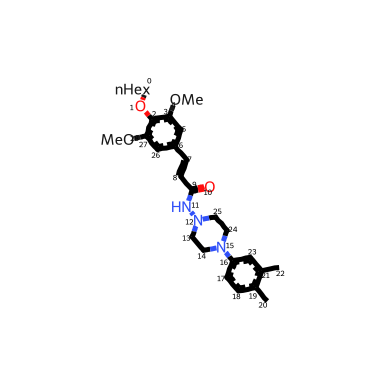 CCCCCCOc1c(OC)cc(C=CC(=O)NN2CCN(c3ccc(C)c(C)c3)CC2)cc1OC